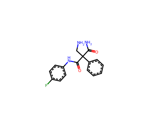 NCC(C(N)=O)(C(=O)Nc1ccc(F)cc1)c1ccccc1